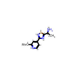 COc1cc(-c2nsc(C(C)N)n2)ccn1